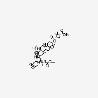 CCOC(=O)NC(C)C(CN[C@]12CC[C@@H](C(C)C)[C@@H]1[C@H]1CC[C@@H]3[C@@]4(C)CC[C@H](OC(=O)[C@H]5C[C@@H](C(=O)O)C5(C)C)C(C)(C)[C@@H]4CC[C@@]3(C)[C@]1(C)CC2)N1CCS(=O)(=O)CC1